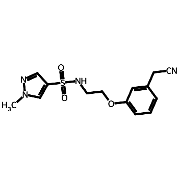 Cn1cc(S(=O)(=O)NCCOc2cccc(CC#N)c2)cn1